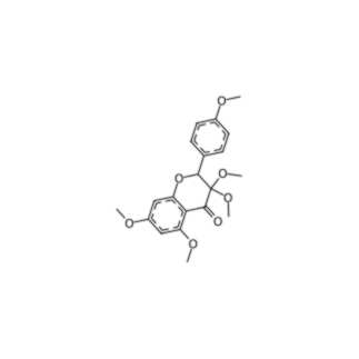 COc1ccc(C2Oc3cc(OC)cc(OC)c3C(=O)C2(OC)OC)cc1